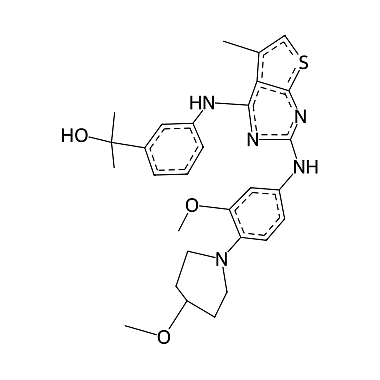 COc1cc(Nc2nc(Nc3cccc(C(C)(C)O)c3)c3c(C)csc3n2)ccc1N1CCC(OC)CC1